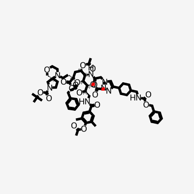 CC(=O)Oc1c(C)cc(C(=O)NC[C@@H](OC(C)=O)[C@@H](OC(C)=O)[C@@H]2O[C@@](CCN3CCOC[C@@]34CCN(C(=O)OC(C)(C)C)C4)(C(=O)OCc3ccccc3)C[C@H](OC(C)=O)[C@H]2NC(=O)Cn2cc(C3CCC(CNC(=O)OCc4ccccc4)CC3)nn2)cc1C